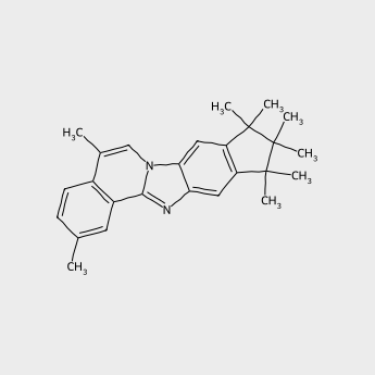 Cc1ccc2c(C)cn3c4cc5c(cc4nc3c2c1)C(C)(C)C(C)(C)C5(C)C